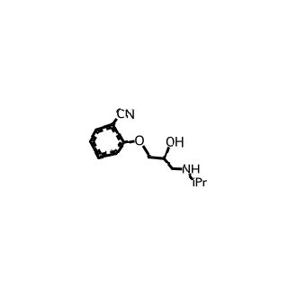 CC(C)NCC(O)COc1ccccc1C#N